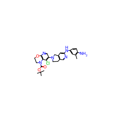 Cc1cc(Nc2cc3c(cn2)CCN(c2cnc4c(c2Cl)N(C(=O)OC(C)(C)C)CCO4)C3)ccc1N